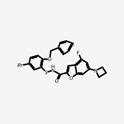 CC(C)c1ccc(OCc2ccccc2)c(SNC(=O)c2cc3c(F)cc(N4CCC4)cc3o2)c1